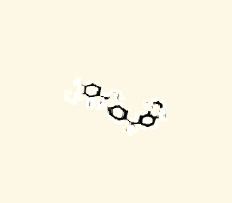 O=C(Nc1ccc(C(=O)c2ccc3nccnc3c2)cc1F)c1ccc(Cl)c(C(F)(F)F)c1